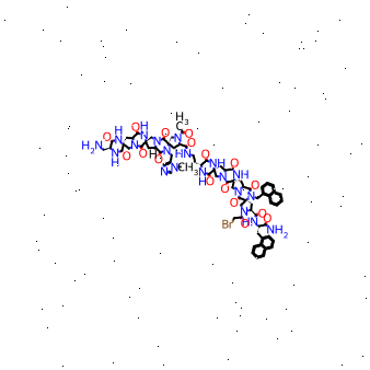 CC(=O)N1C[C@@]2(CC1C(=O)NCC[C@H]1NC(=O)[C@@]3(CC4C(=O)N[C@]5(CC6C(=O)N(Cc7cccc8ccccc78)[C@]7(C[C@@H](C(=O)N[C@@H](Cc8cccc9ccccc89)C(N)=O)N(C(=O)CBr)C7)C(=O)N6C5)C(=O)N4C3)NC1=O)C(=O)N1C[C@]3(C[C@H]1C(=O)N2Cc1cncn1C)NC(=O)C1C[C@@]2(CN1C3=O)NC(=O)[C@H](CN)NC2=O